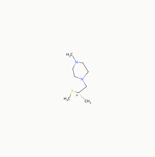 CS[C@@H](C)CN1CCN(C)CC1